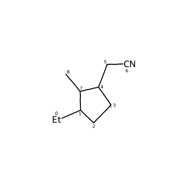 [CH2]CC1C[CH]C(CC#N)C1C